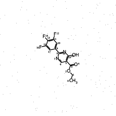 CCOC(=O)c1cnc(-c2cc(F)c(F)c(F)c2)nc1O